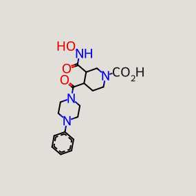 O=C(NO)C1CN(C(=O)O)CCC1C(=O)N1CCN(c2ccccc2)CC1